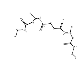 CCOC(=O)CC(C)OC(=O)CCC(=O)OC(C)CC(=O)OCC